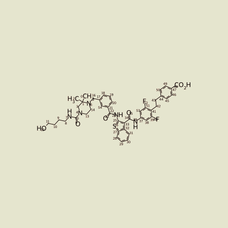 CC1(C)CN(C(=O)NCCCCO)CCN1Cc1cccc(C(=O)Nc2sc3ccccc3c2C(=O)Nc2cc(F)c(CCc3ccc(C(=O)O)cc3)c(F)c2)c1